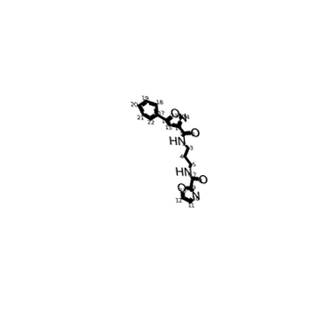 O=C(NCCCNC(=O)c1ncco1)c1cc(-c2ccccc2)on1